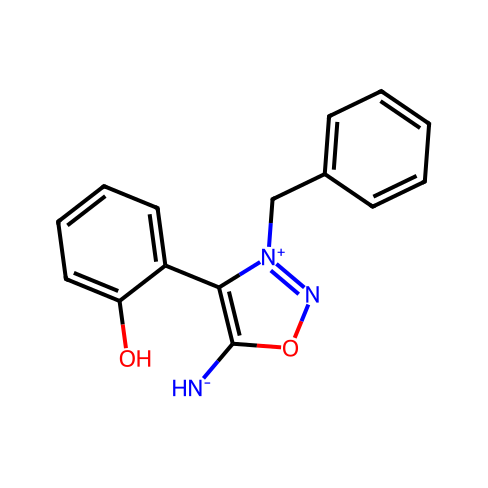 [NH-]c1on[n+](Cc2ccccc2)c1-c1ccccc1O